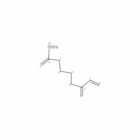 C=CC(=C)CCCCC(=C)NC